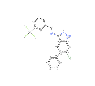 FC(F)(F)c1cccc(CNc2n[nH]c3cc(Cl)c(-c4ccccc4)cc23)c1